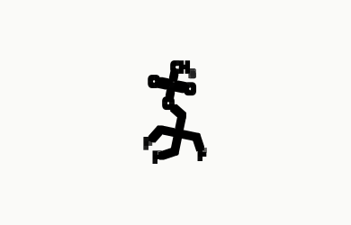 CS(=O)(=O)OCC(CF)(CF)CF